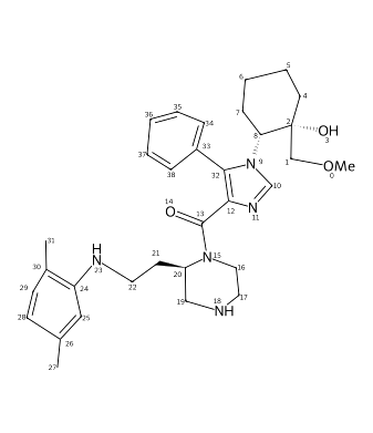 COC[C@]1(O)CCCC[C@H]1n1cnc(C(=O)N2CCNC[C@H]2CCNc2cc(C)ccc2C)c1-c1ccccc1